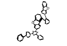 c1ccc(-c2ccc(-c3nc(-c4ccccc4)nc(-c4ccc5c(c4)oc4cccc(-c6ccccc6-c6ccc7c(c6)oc6ccccc67)c45)n3)cc2)cc1